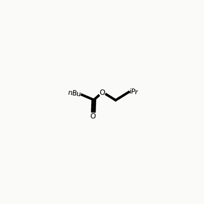 CCCCC(=O)OCC(C)C